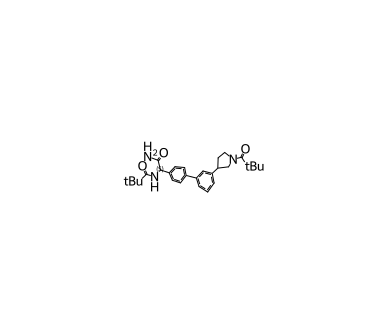 CC(C)(C)C(=O)N[C@H](C(N)=O)c1ccc(-c2cccc(C3CCN(C(=O)C(C)(C)C)C3)c2)cc1